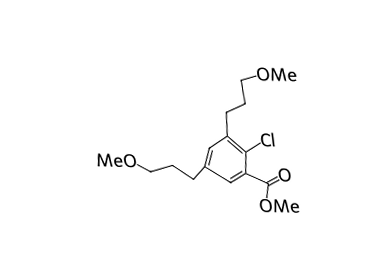 COCCCc1cc(CCCOC)c(Cl)c(C(=O)OC)c1